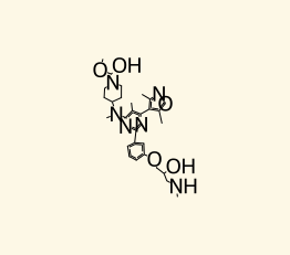 CNCC(O)COc1cccc(-c2nc(-c3c(C)noc3C)c(C)c(N(C)C3CCN(C(O)OC)CC3)n2)c1